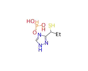 CCC(S)c1nc[nH]n1.O=[PH](O)O